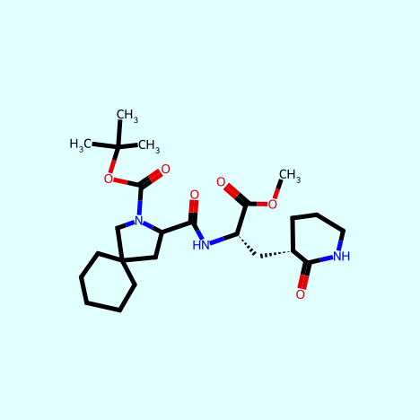 COC(=O)[C@H](C[C@@H]1CCCNC1=O)NC(=O)C1CC2(CCCCC2)CN1C(=O)OC(C)(C)C